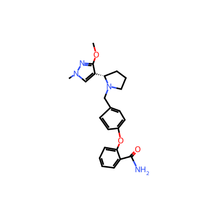 COc1nn(C)cc1[C@@H]1CCCN1Cc1ccc(Oc2ccccc2C(N)=O)cc1